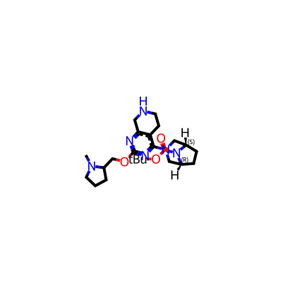 CN1CCCC1COc1nc2c(c(N3C[C@H]4CC[C@@H](C3)N4C(=O)OC(C)(C)C)n1)CCNC2